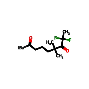 CC(C)(C)C(=O)CCCC(C)(C)C(=O)C(C)(F)F